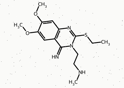 CCSc1nc2cc(OC)c(OC)cc2c(=N)n1CCNC